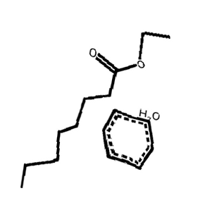 CCCCCCCC(=O)OCC.O.c1ccccc1